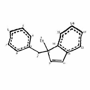 [CH2]CC1(Cc2ccccc2)C=Cc2ccccc21